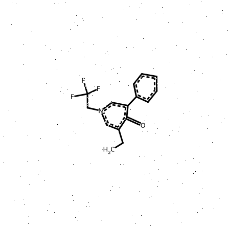 [CH2]Cc1cn(CC(F)(F)F)cc(-c2ccccc2)c1=O